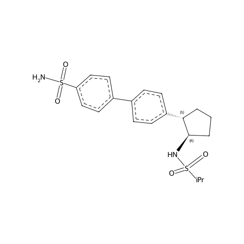 CC(C)S(=O)(=O)N[C@@H]1CCC[C@H]1c1ccc(-c2ccc(S(N)(=O)=O)cc2)cc1